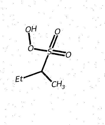 CCC(C)S(=O)(=O)OO